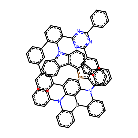 c1ccc(-c2nc(-c3ccccc3)nc(-c3cccc(-c4cccc(-c5cccc(-c6ccc7c8c6N(c6ccccc6)c6ccccc6B8c6ccccc6N7c6ccccc6)c5)c4)c3-n3c4ccccc4c4c5sc6ccccc6c5ccc43)n2)cc1